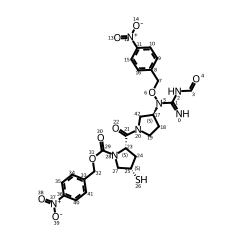 N=C(NC=O)N(OCc1ccc([N+](=O)[O-])cc1)[C@H]1CCN(C(=O)[C@@H]2C[C@H](S)CN2C(=O)OCc2ccc([N+](=O)[O-])cc2)C1